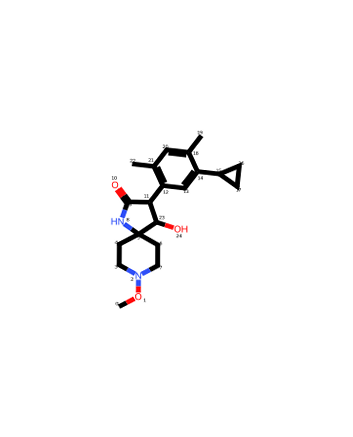 CON1CCC2(CC1)NC(=O)C(c1cc(C3CC3)c(C)cc1C)C2O